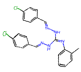 Cc1ccccc1N=C(NN=Cc1ccc(Cl)cc1)NN=Cc1ccc(Cl)cc1